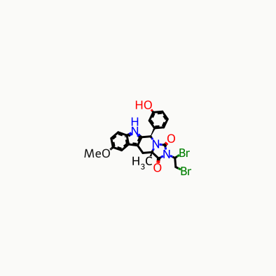 COc1ccc2[nH]c3c(c2c1)C[C@@]1(C)C(=O)N(C(Br)CBr)C(=O)N1[C@@H]3c1cccc(O)c1